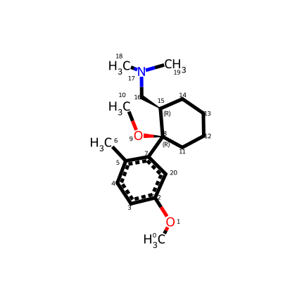 COc1ccc(C)c([C@@]2(OC)CCCC[C@@H]2CN(C)C)c1